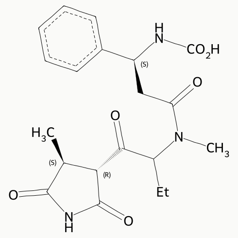 CCC(C(=O)[C@@H]1C(=O)NC(=O)[C@H]1C)N(C)C(=O)C[C@H](NC(=O)O)c1ccccc1